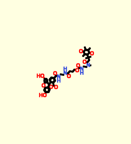 CC1=C(C)C(=O)C(C(C)(C)CC(=O)N(C)CCNC(=O)OCCCC(=O)NCCNC(=O)c2ccc3c(c2)C(=O)OC32c3ccc(O)cc3Oc3cc(O)ccc32)=C(C)C1=O